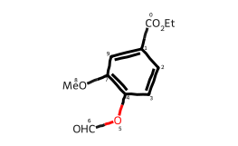 CCOC(=O)c1ccc(OC=O)c(OC)c1